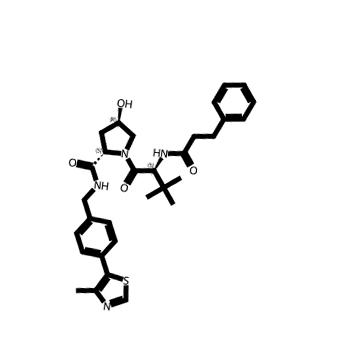 Cc1ncsc1-c1ccc(CNC(=O)[C@@H]2C[C@@H](O)CN2C(=O)[C@@H](NC(=O)CCc2ccccc2)C(C)(C)C)cc1